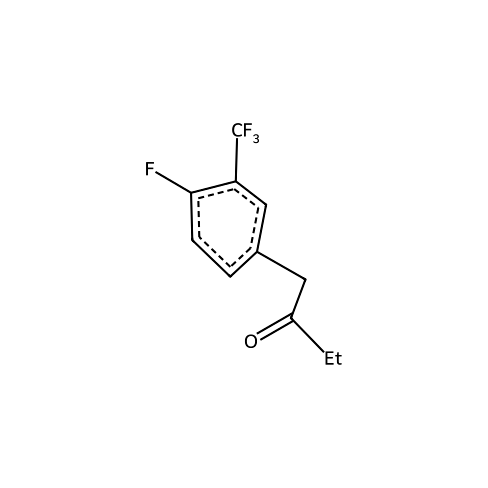 CCC(=O)Cc1ccc(F)c(C(F)(F)F)c1